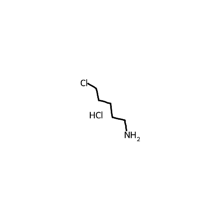 Cl.NCCCCCCl